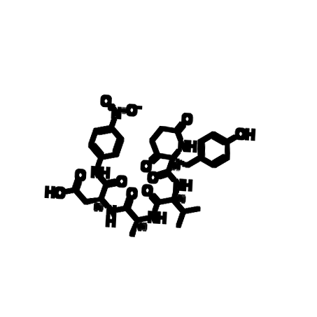 CC(C)[C@H](NC(=O)[C@]1(Cc2ccc(O)cc2)NC(=O)CCC1=O)C(=O)N[C@@H](C)C(=O)N[C@@H](CC(=O)O)C(=O)Nc1ccc([N+](=O)[O-])cc1